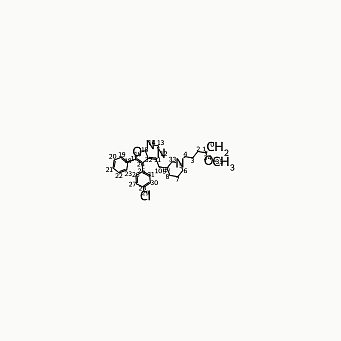 C=C(CCCN1CCC[C@@H](Cc2ncnc3oc(-c4ccccc4)c(-c4ccc(Cl)cc4)c23)C1)OC